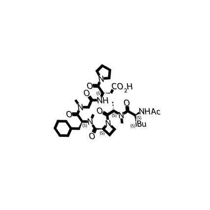 CC[C@H](C)[C@H](NC(C)=O)C(=O)N(C)[C@@H](C)C(=O)N1CC[C@H]1C(=O)N(C)[C@@H](CC1CCCCC1)C(=O)N(C)CC(=O)N[C@@H](CC(=O)O)C(=O)N1CCCC1